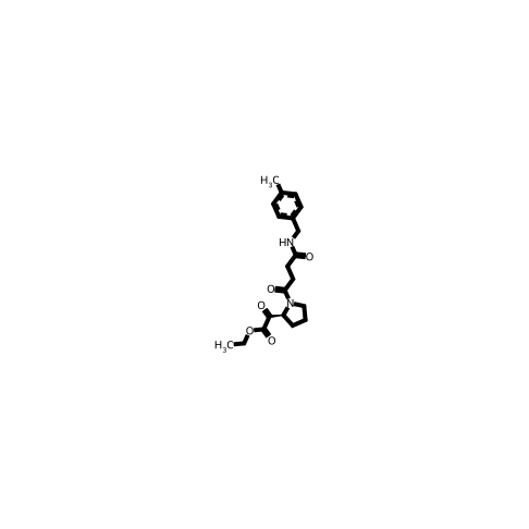 CCOC(=O)C(=O)[C@@H]1CCCN1C(=O)CCC(=O)NCc1ccc(C)cc1